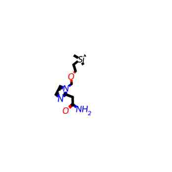 C[Si](C)(C)CCOCn1ccnc1CC(N)=O